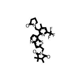 Cc1cc(C(F)(F)F)nc(-c2ccnc3cc(CN4C(=O)C(C)C(C)(C)C4=O)sc23)c1CN1CCCC1=O